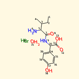 Br.CCC(C)C(N)C(=O)NC(C(=O)O)c1ccc(O)cc1.O